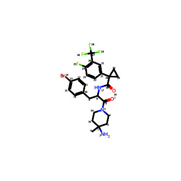 CC1(N)CCN(C(=O)C(Cc2ccc(Br)cc2)NC(=O)C2(c3ccc(F)c(C(F)(F)F)c3)CC2)CC1